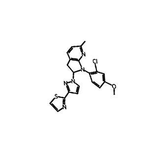 COc1ccc(N2c3nc(C)ccc3CC2n2ccc(-c3nccs3)n2)c(Cl)c1